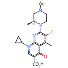 CC(=O)N1CCN(c2nc3c(c(C)c2F)c(=O)c(C(=O)O)cn3C2CC2)[C@@H](C)C1